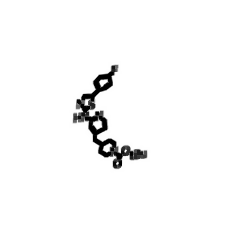 CC(C)(C)OC(=O)N1CCC(Cc2ccnc(Nc3ncc(-c4ccc(F)cc4)s3)c2)CC1